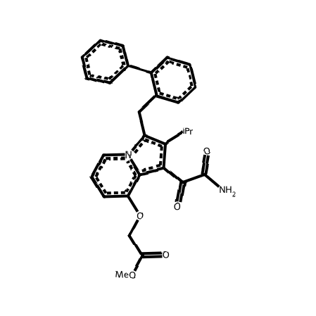 COC(=O)COc1cccn2c(Cc3ccccc3-c3ccccc3)c(C(C)C)c(C(=O)C(N)=O)c12